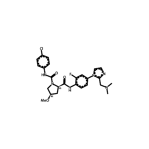 CO[C@@H]1C[C@H](C(=O)Nc2ccc(-n3ccnc3CN(C)C)cc2F)N(C(=O)Nc2ccc(Cl)cc2)C1